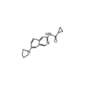 O=C(Nc1cc2ccc(N3CCCC3)cc2cn1)C1CC1